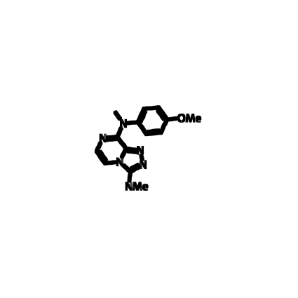 CNc1nnc2c(N(C)c3ccc(OC)cc3)nccn12